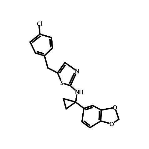 Clc1ccc(Cc2cnc(NC3(c4ccc5c(c4)OCO5)CC3)s2)cc1